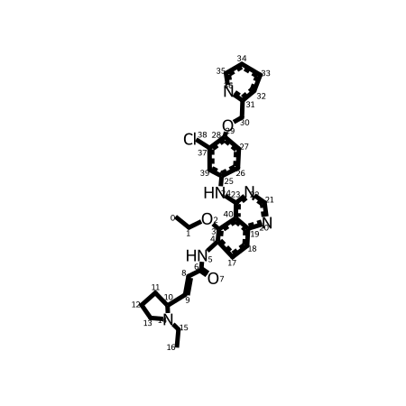 CCOc1c(NC(=O)C=CC2CCCN2CC)ccc2ncnc(Nc3ccc(OCc4ccccn4)c(Cl)c3)c12